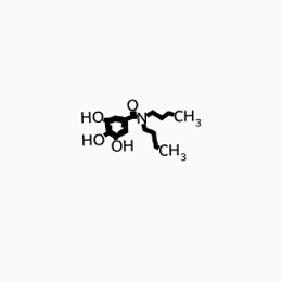 CCCCN(CCCC)C(=O)c1cc(O)c(O)c(O)c1